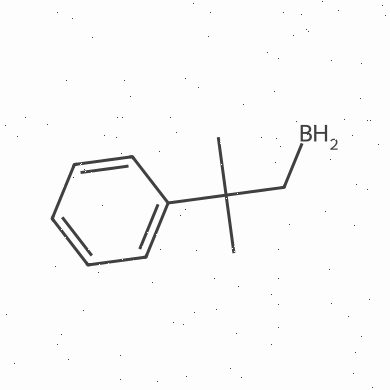 BCC(C)(C)c1ccccc1